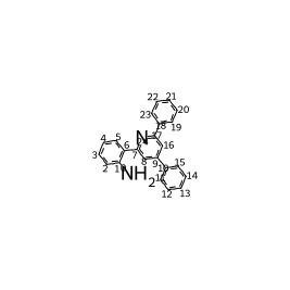 Nc1ccccc1-c1cc(-c2ccccc2)cc(-c2ccccc2)n1